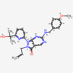 C=CCn1c(=O)c2cnc(NCc3ccc(OC)cc3)nc2n1-c1cccc(C(C)(C)O)n1